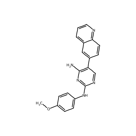 COc1ccc(Nc2ncc(-c3ccc4ncccc4c3)c(N)n2)cc1